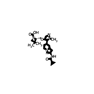 Cn1ncc(OC[C@H]2N(C(=O)O)CC2(C)C)c1-c1ccn2nc(NC(=O)C3CC3)cc2c1